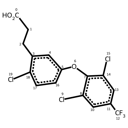 O=C(O)CCc1cc(Oc2c(Cl)cc(C(F)(F)F)cc2Cl)ccc1Cl